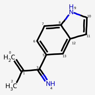 C=C(C)C(=N)c1ccc2[nH]ccc2c1